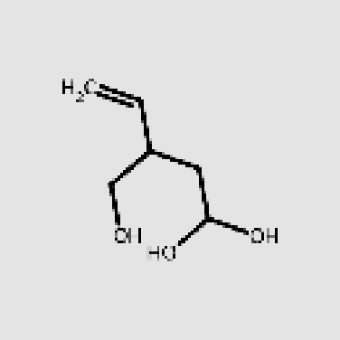 C=CC(CO)CC(O)O